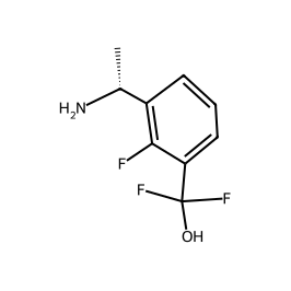 C[C@@H](N)c1cccc(C(O)(F)F)c1F